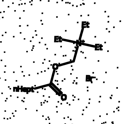 CCCCCCCC(=O)OC[N+](CC)(CC)CC.[Br-]